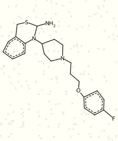 NC1SCc2ccccc2N1C1CCN(CCCOc2ccc(F)cc2)CC1